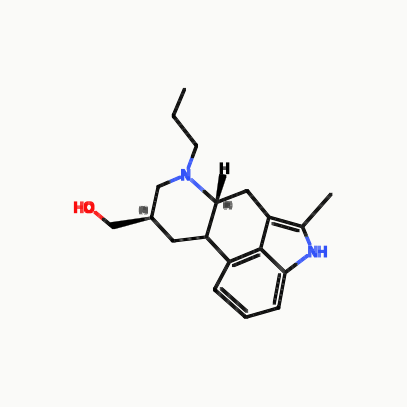 CCCN1C[C@H](CO)CC2c3cccc4[nH]c(C)c(c34)C[C@H]21